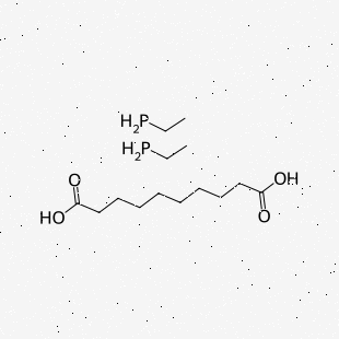 CCP.CCP.O=C(O)CCCCCCCCC(=O)O